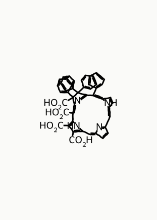 O=C(O)c1c(C(=O)O)c2[nH]c1cc1nc(cc3ccc([nH]3)c(-c3ccccc3)c3nc(c2C(=O)O)C(C(=O)O)(c2ccccc2)C3(c2ccccc2)c2ccccc2)C=C1